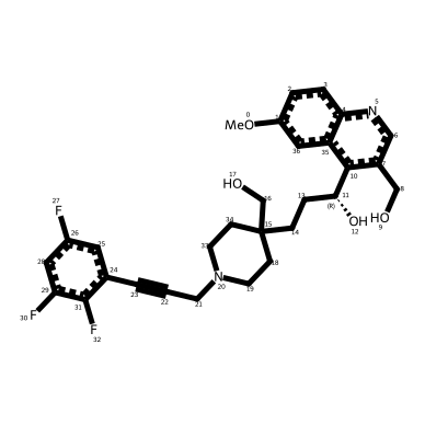 COc1ccc2ncc(CO)c([C@H](O)CCC3(CO)CCN(CC#Cc4cc(F)cc(F)c4F)CC3)c2c1